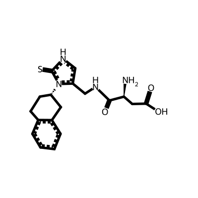 N[C@@H](CC(=O)O)C(=O)NCc1c[nH]c(=S)n1[C@H]1CCc2ccccc2C1